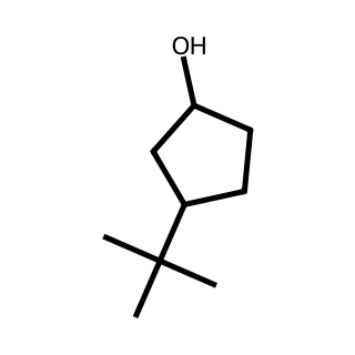 CC(C)(C)C1CCC(O)C1